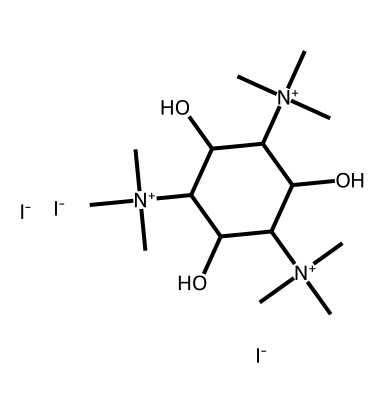 C[N+](C)(C)C1C(O)C([N+](C)(C)C)C(O)C([N+](C)(C)C)C1O.[I-].[I-].[I-]